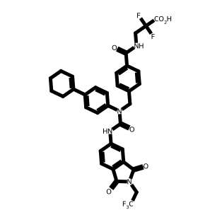 O=C(NCC(F)(F)C(=O)O)c1ccc(CN(C(=O)Nc2ccc3c(c2)C(=O)N(CC(F)(F)F)C3=O)c2ccc(C3=CCCCC3)cc2)cc1